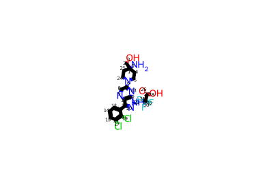 NC1(CO)CCN(c2cnc3c(-c4cccc(Cl)c4Cl)n[nH]c3n2)CC1.O=C(O)C(F)(F)F